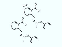 C=CC(=O)OC(C)OOc1ccccc1C(=O)[O-].C=CC(=O)OC(C)OOc1ccccc1C(=O)[O-].[Zn+2]